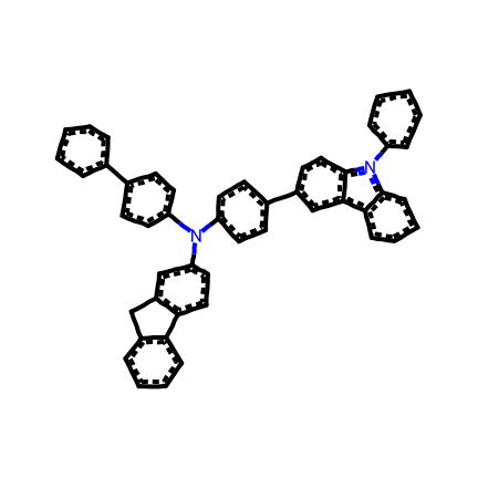 c1ccc(-c2ccc(N(c3ccc(-c4ccc5c(c4)c4ccccc4n5-c4ccccc4)cc3)c3ccc4c(c3)Cc3ccccc3-4)cc2)cc1